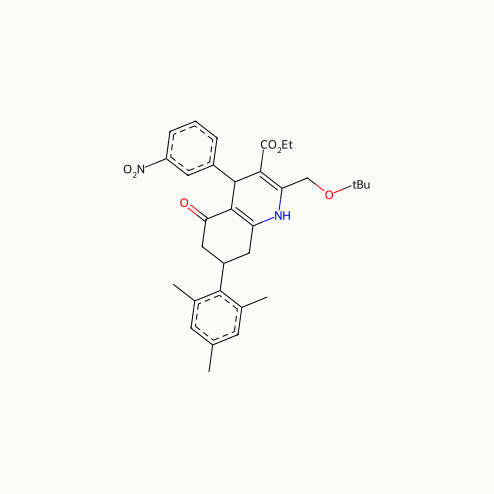 CCOC(=O)C1=C(COC(C)(C)C)NC2=C(C(=O)CC(c3c(C)cc(C)cc3C)C2)C1c1cccc([N+](=O)[O-])c1